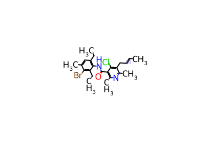 C/C=C/Cc1c(C)nc(C)c(C(=O)Nc2c(CC)cc(C)c(Br)c2CC)c1Cl